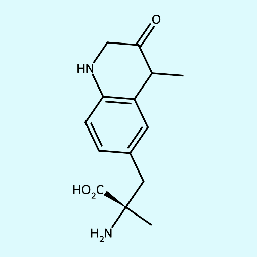 CC1C(=O)CNc2ccc(C[C@](C)(N)C(=O)O)cc21